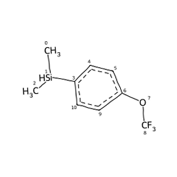 C[SiH](C)c1ccc(OC(F)(F)F)cc1